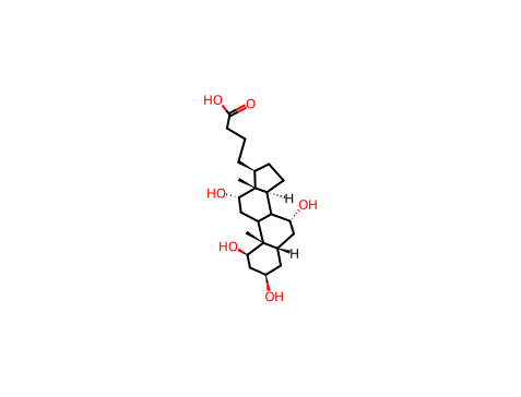 C[C@@]12C3C[C@H](O)[C@]4(C)[C@@H](CCCC(=O)O)CC[C@H]4C3[C@H](O)C[C@@H]1C[C@@H](O)C[C@H]2O